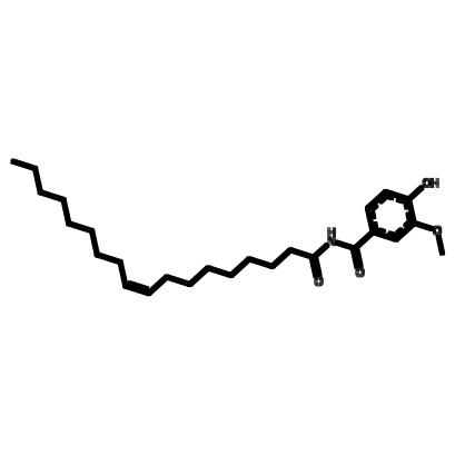 CCCCCCCC/C=C\CCCCCCCC(=O)NC(=O)c1ccc(O)c(OC)c1